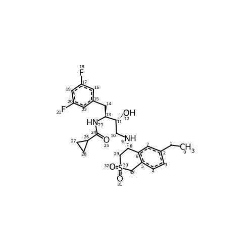 CCc1ccc2c(c1)[C@@H](NC[C@@H](O)[C@H](Cc1cc(F)cc(F)c1)NC(=O)C1CC1)CS(=O)(=O)C2